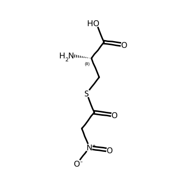 N[C@@H](CSC(=O)C[N+](=O)[O-])C(=O)O